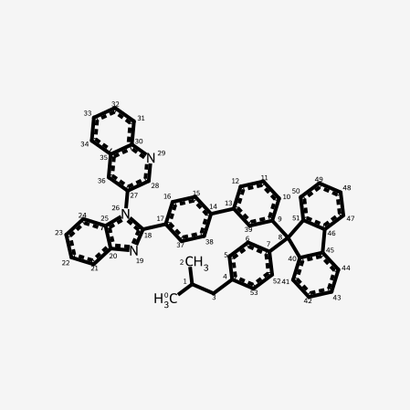 CC(C)Cc1ccc(C2(c3cccc(-c4ccc(-c5nc6ccccc6n5-c5cnc6ccccc6c5)cc4)c3)c3ccccc3-c3ccccc32)cc1